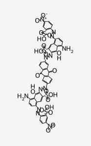 Nc1ccc(N=Nc2ccc([N+](=O)[O-])cc2S(=O)(=O)O)c2cc(S(=O)(=O)O)c(N=Nc3ccc4c(c3)C(=O)c3ccc(N=Nc5c(S(=O)(=O)O)cc6c(N=Nc7ccc([N+](=O)[O-])cc7S(=O)(=O)O)ccc(N)c6c5O)cc3C4=O)c(O)c12